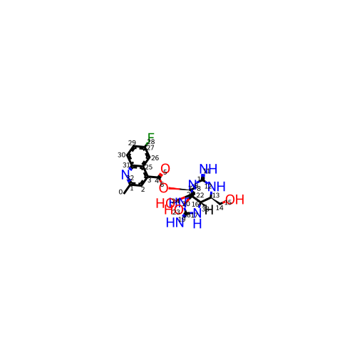 Cc1cc(C(=O)O[C@H]2CN3C(=N)N[C@@H](CO)[C@@H]4NC(=N)N[C@@]43C2(O)O)c2cc(F)ccc2n1